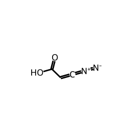 [N-]=[N+]=C=CC(=O)O